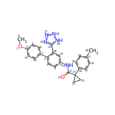 COc1ccc(-c2ccc(NC(=O)C3(c4ccc(C)cc4)CC3)cc2-c2nnn[nH]2)cc1